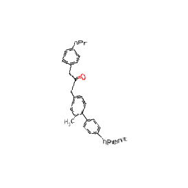 CCCCCc1ccc(-c2ccc(CC(=O)Cc3ccc(CCC)cc3)cc2C)cc1